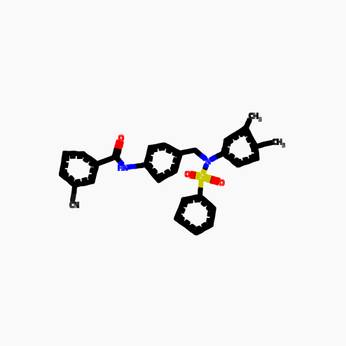 Cc1ccc(N(Cc2ccc(NC(=O)c3cccc(C#N)c3)cc2)S(=O)(=O)c2ccccc2)cc1C